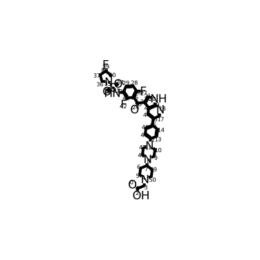 O=C(O)CN1CCC(N2CCN(c3ccc(-c4cnc5[nH]cc(C(=O)c6c(F)ccc(NS(=O)(=O)N7CC[C@@H](F)C7)c6F)c5c4)cc3)CC2)CC1